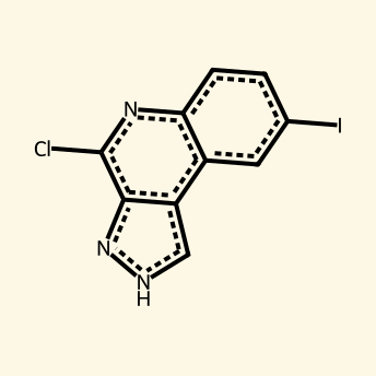 Clc1nc2ccc(I)cc2c2c[nH]nc12